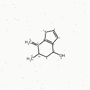 C=S1c2sccc2C(O)CC1C